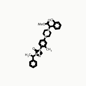 COC(=O)C(c1ccccc1Cl)N1CCN(c2ccc(-n3cnn(C(C)c4ccccc4)c3=O)c(C)c2)CC1